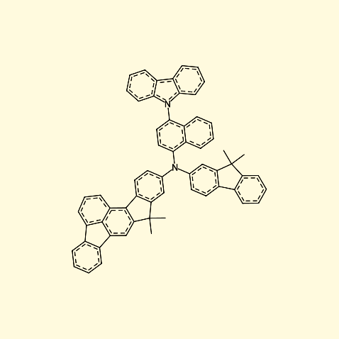 CC1(C)c2ccccc2-c2ccc(N(c3ccc4c(c3)C(C)(C)c3cc5c6c(cccc6c3-4)-c3ccccc3-5)c3ccc(-n4c5ccccc5c5ccccc54)c4ccccc34)cc21